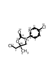 C[C@]1(CCl)CN(c2ccc(Cl)cn2)C(=O)O1